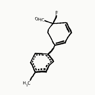 Cc1ccc(C2=CC=CC(F)(C=O)C2)cc1